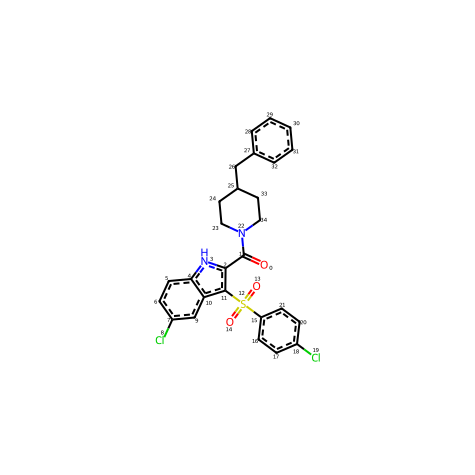 O=C(c1[nH]c2ccc(Cl)cc2c1S(=O)(=O)c1ccc(Cl)cc1)N1CCC(Cc2ccccc2)CC1